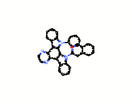 c1ccc(-n2c3ccccc3c3c4nccnc4c4c5ccccc5n(-c5cc6ccccc6cn5)c4c32)cc1